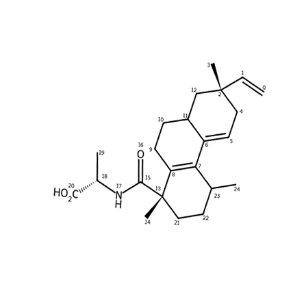 C=C[C@]1(C)CC=C2C3=C(CCC2C1)[C@@](C)(C(=O)N[C@@H](C)C(=O)O)CCC3C